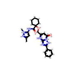 Cc1cc(NC(=O)C2(OCc3cc(=O)n4nc(-c5ccccc5)nc4[nH]3)CCCCC2)n(C)n1